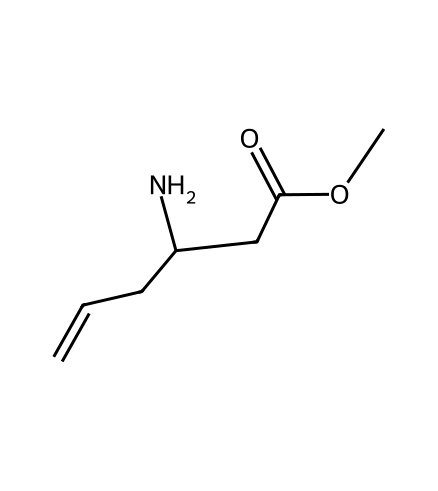 C=CCC(N)CC(=O)OC